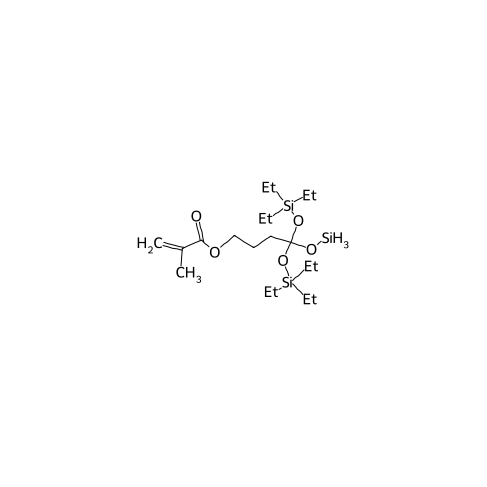 C=C(C)C(=O)OCCCC(O[SiH3])(O[Si](CC)(CC)CC)O[Si](CC)(CC)CC